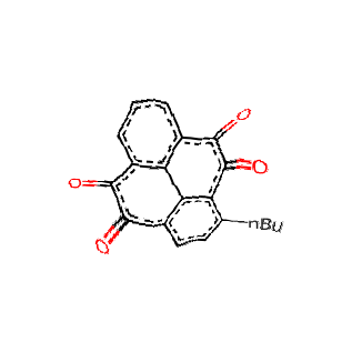 CCCCc1ccc2c3c1c(=O)c(=O)c1cccc(c1-3)c(=O)c2=O